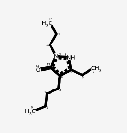 CCCCc1c(CC)[nH]n(CCC)c1=O